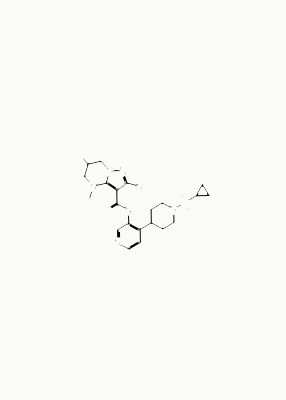 CN1CC(F)Cn2nc(N)c(C(=O)Nc3cnccc3C3CCN(S(=O)(=O)C4CC4)CC3)c21